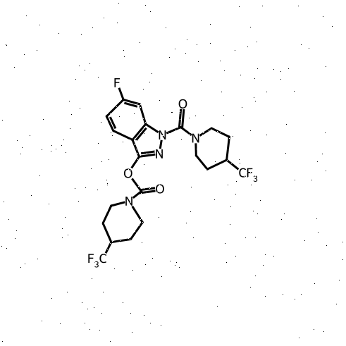 O=C(Oc1nn(C(=O)N2CCC(C(F)(F)F)CC2)c2cc(F)ccc12)N1CCC(C(F)(F)F)CC1